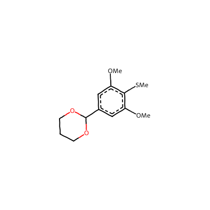 COc1cc(C2OCCCO2)cc(OC)c1SC